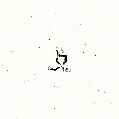 CCCC[N+]1(C[O-])C=CN(C)C1